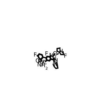 Nc1nc2c(-c3c(C(F)(F)F)cc4c(N5CC6CCC(C5)N6)nc(OC[C@@]56CCCN5C[C@H](F)C6)nc4c3F)ccc(F)c2o1